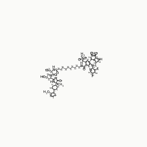 Cc1ncsc1-c1ccc([C@]2(C)NC([C@H]3C[C@@H](O)CN3C(=O)C(NC(=O)CCCCCCCCCCNC(=O)c3cc4c(cc3CS(C)(=O)=O)-c3cn(C)c(=O)c5[nH]cc(c35)CN4c3ncc(F)cc3F)C(C)(C)C)=NC2=O)cc1